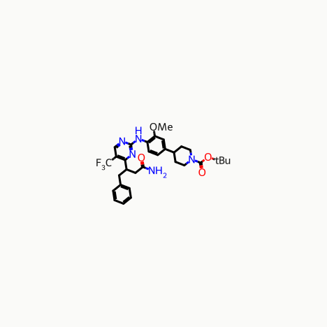 COc1cc(C2CCN(C(=O)OC(C)(C)C)CC2)ccc1Nc1ncc(C(F)(F)F)c(C(CC(N)=O)Cc2ccccc2)n1